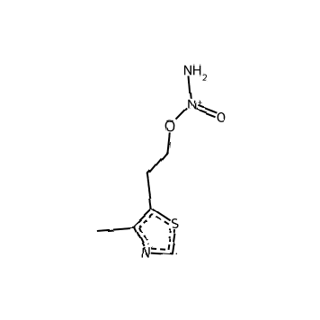 Cc1n[c]sc1CCO[N+](N)=O